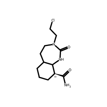 NC(=O)[C@H]1CCCC2CCN(CCCl)C(=O)NC21